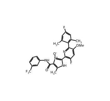 COc1cc(F)c(-c2[nH]c(C)c(C(=O)Nc3cccc(C(F)(F)F)c3)[n+]2[O-])nc1-c1c(C)cc(F)cc1C